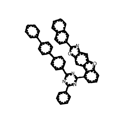 c1ccc(-c2ccc(-c3ccc(-c4nc(-c5ccccc5)nc(-c5cccc6oc7cc8nc(-c9ccc%10ccccc%10c9)oc8cc7c56)n4)cc3)cc2)cc1